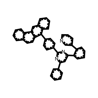 c1ccc(-c2cc(-c3ccccc3-c3cccnc3)nc(-c3ccc(-c4c5ccccc5cc5c4ccc4ccccc45)cc3)n2)cc1